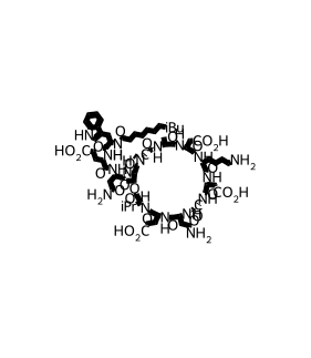 CCC(C)CCCCCCC(=O)NC(Cc1c[nH]c2ccccc12)C(=O)NC(CCC(=O)O)C(=O)NC(CC(N)=O)C(=O)NC1C(=O)N(C)CC(=O)NC(C)C(=O)NC(CC(=O)O)C(=O)NC(CCCCN)C(=O)NC(CC(=O)O)C(=O)NCC(=O)NC(CC(N)=O)C(=O)NC(CCC(=O)O)C(=O)NC(C(C)C)C(=O)OC1C